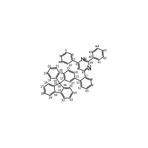 c1ccc(-c2cc(-c3ccccc3-c3cccc(C4(c5ccccc5)c5ccccc5-c5ccccc54)c3)nc(-c3ccccc3)n2)cc1